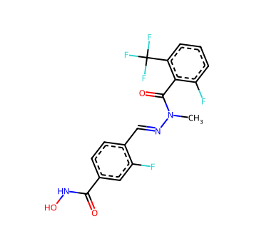 CN(N=Cc1ccc(C(=O)NO)cc1F)C(=O)c1c(F)cccc1C(F)(F)F